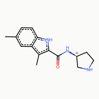 Cc1ccc2[nH]c(C(=O)N[C@H]3CCNC3)c(C)c2c1